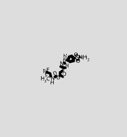 C[C@@H](CC(F)(F)F)NC(=O)O[C@H]1CO[C@@H](c2cnc(Nc3ccc(S(N)(=O)=O)cc3)nc2)C1